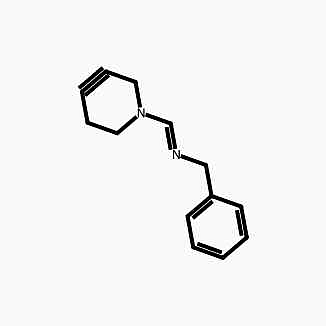 C1#CCN(C=NCc2ccccc2)CC1